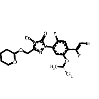 CCn1c(COC2CCCCO2)nn(-c2cc(O[C@@H](C)C(F)(F)F)c(/C(F)=C/Br)cc2F)c1=O